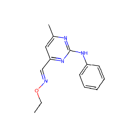 CCO/N=C/c1cc(C)nc(Nc2ccccc2)n1